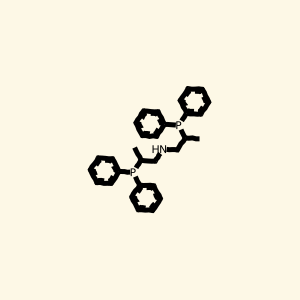 CC(CNCC(C)P(c1ccccc1)c1ccccc1)P(c1ccccc1)c1ccccc1